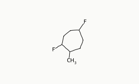 CC1CCC(F)CCC1F